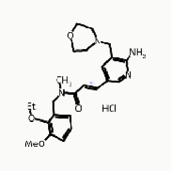 CCOc1c(CN(C)C(=O)/C=C/c2cnc(N)c(CN3CCOCC3)c2)cccc1OC.Cl